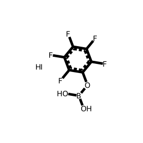 I.OB(O)Oc1c(F)c(F)c(F)c(F)c1F